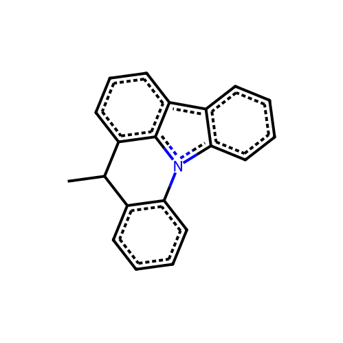 CC1c2ccccc2-n2c3ccccc3c3cccc1c32